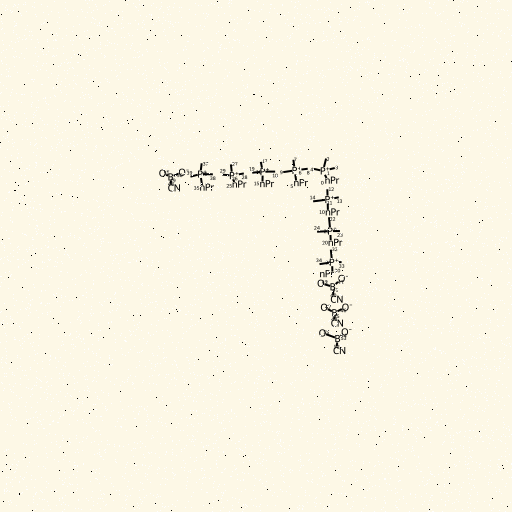 CCC[P+](C)(C)C.CCC[P+](C)(C)C.CCC[P+](C)(C)C.CCC[P+](C)(C)C.CCC[P+](C)(C)C.CCC[P+](C)(C)C.CCC[P+](C)(C)C.CCC[P+](C)(C)C.N#CB([O-])[O-].N#CB([O-])[O-].N#CB([O-])[O-].N#CB([O-])[O-]